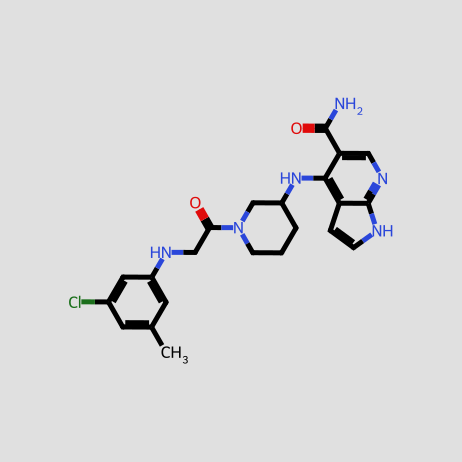 Cc1cc(Cl)cc(NCC(=O)N2CCCC(Nc3c(C(N)=O)cnc4[nH]ccc34)C2)c1